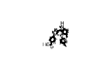 Cc1ccc(=O)n(Cc2ccc3[nH]nc(-c4cn(-c5ccc(C(=O)O)cc5)nn4)c3c2)n1